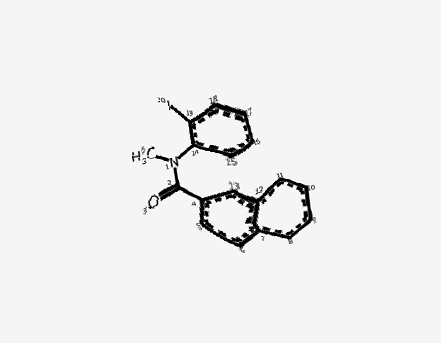 CN(C(=O)c1ccc2ccccc2c1)c1ccccc1I